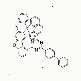 c1ccc(-c2ccc(-c3nc(-c4ccccc4)nc(-c4cccc5oc6cc7c(cc6c45)C4(c5ccccc5S7)c5ccccc5-c5ccccc54)n3)cc2)cc1